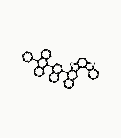 c1ccc(-c2c3ccccc3c(-c3ccc(-c4c5ccccc5cc5c4oc4ccc6oc7ccccc7c6c45)c4ccccc34)c3ccccc23)cc1